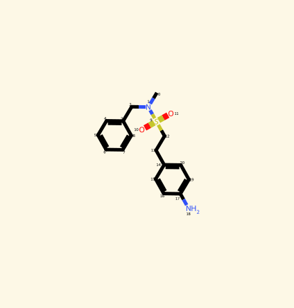 CN(Cc1ccccc1)S(=O)(=O)CCc1ccc(N)cc1